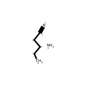 CCCCC#N.N